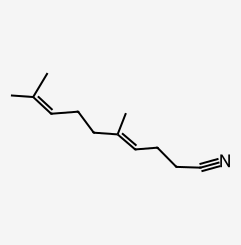 CC(C)=CCC/C(C)=C/CCC#N